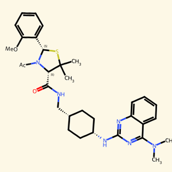 COc1ccccc1[C@@H]1SC(C)(C)[C@H](C(=O)NC[C@H]2CC[C@@H](Nc3nc(N(C)C)c4ccccc4n3)CC2)N1C(C)=O